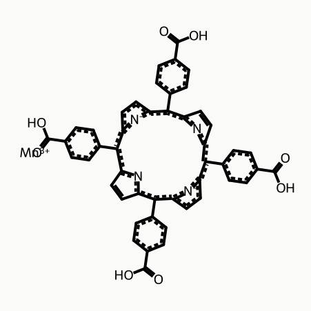 O=C(O)c1ccc(-c2c3nc(c(-c4ccc(C(=O)O)cc4)c4ccc([n-]4)c(-c4ccc(C(=O)O)cc4)c4nc(c(-c5ccc(C(=O)O)cc5)c5ccc2[n-]5)C=C4)C=C3)cc1.[Mn+3]